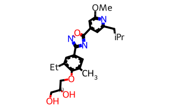 CCc1cc(-c2noc(-c3cc(CC(C)C)nc(OC)c3)n2)cc(C)c1OC[C@@H](O)CO